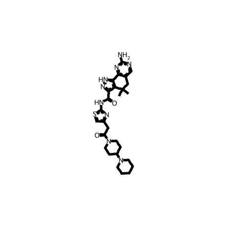 CC1(C)Cc2cnc(N)nc2-c2[nH]nc(C(=O)Nc3nc(CC(=O)N4CCC(N5CCCCC5)CC4)cs3)c21